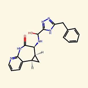 O=C1Nc2ncccc2[C@@H]2C[C@@H]2[C@@H]1NC(O)c1nnc(Cc2ccccc2)[nH]1